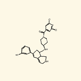 N#Cc1cccc(C2=CC3=CCNCC3C(NC3CCN(C(=O)c4cc(Cl)nc(Cl)c4)CC3)C2)c1